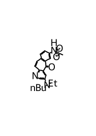 CCCCN(CC)c1cnc2ccc3ccc(NS(C)(=O)=O)cc3c(=O)c2c1